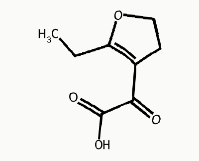 CCC1=C(C(=O)C(=O)O)CCO1